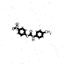 [CH2]c1ccc(NC(=O)Oc2ccc([N+](=O)[O-])cc2)cc1